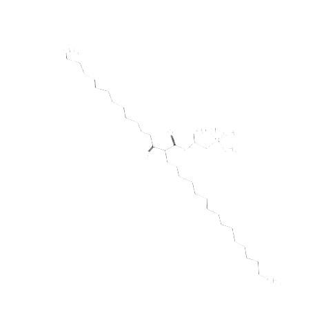 CCCCCCCCCCCCCCCCC(C(=O)CCCCCCCCCCCCC)C(=O)[P-]C(O)C[N+](C)(C)C